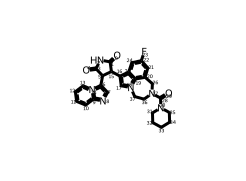 O=C1NC(=O)C(c2cnc3ccccn23)C1c1cn2c3c(cc(F)cc13)CN(C(=O)N1CCCCC1)CC2